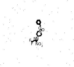 O=C(OCc1ccccc1)N1CCC(n2cc([N+](=O)[O-])c(C(F)F)n2)CC1